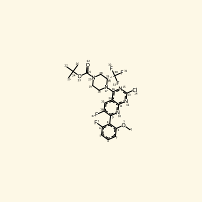 COc1cccc(F)c1-c1nc2nc(Cl)nc(N3CCN(C(=O)OC(C)(C)C)C[C@@H]3C(F)(F)F)c2cc1F